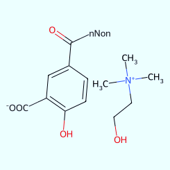 CCCCCCCCCC(=O)c1ccc(O)c(C(=O)[O-])c1.C[N+](C)(C)CCO